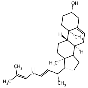 CC(C)=CN/C=C/[C@@H](C)[C@H]1CCC2[C@@H]3CC=C4C[C@@H](O)CC[C@]4(C)[C@H]3CC[C@@]21C